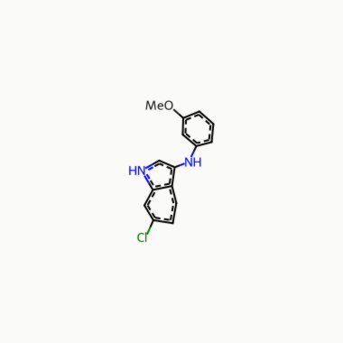 COc1cccc(Nc2c[nH]c3cc(Cl)ccc23)c1